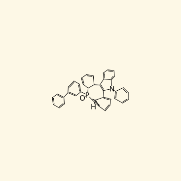 O=P1(c2cccc(-c3ccccc3)c2)C2=C3C=CC=C(c4c(c5ccccc5n4-c4ccccc4)C4C=CC=CC41)[C@H]32